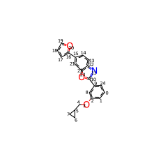 c1cc(OCC2CC2)cc(-c2nc3ccc(-c4ccco4)cc3o2)c1